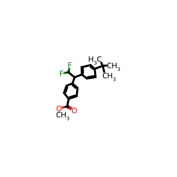 COC(=O)c1ccc(C(c2ccc(C(C)(C)C)cc2)C(F)F)cc1